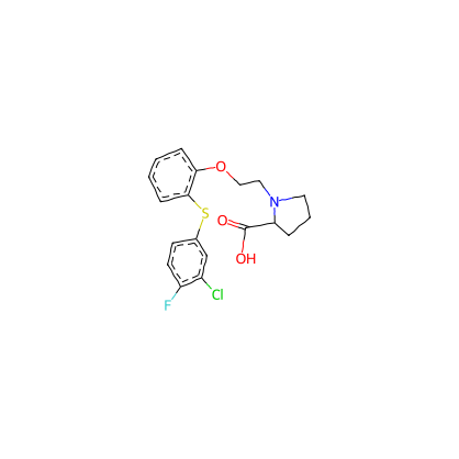 O=C(O)C1CCCN1CCOc1ccccc1Sc1ccc(F)c(Cl)c1